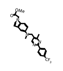 COC(=O)Cn1ccc2cc(N(C)Cc3cnc(-c4ccc(C(F)(F)F)cc4)nc3C)ccc21